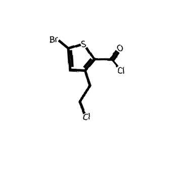 O=C(Cl)c1sc(Br)cc1CCCl